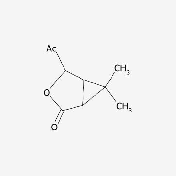 CC(=O)C1OC(=O)C2C1C2(C)C